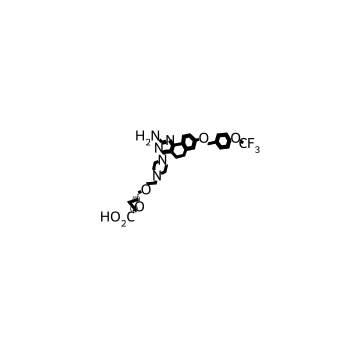 Nc1nc2c(c(N3CCN(CCOC[C@H]4C[C@@H](C(=O)O)O4)CC3)n1)CCc1cc(OCc3ccc(OC(F)(F)F)cc3)ccc1-2